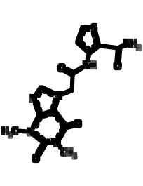 Cn1c(=O)c2c(ncn2CC(=O)Nc2ccsc2C(N)=O)n(C)c1=O